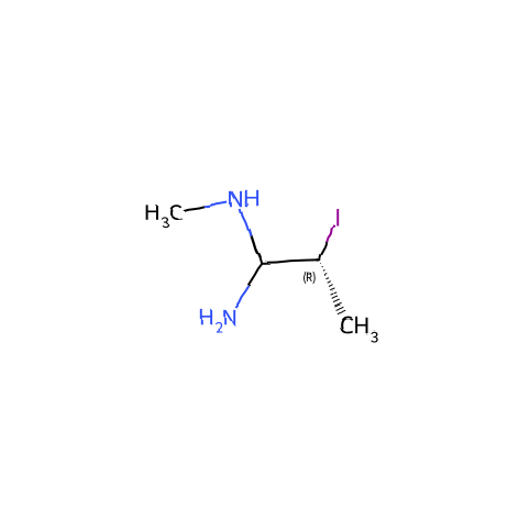 CNC(N)[C@@H](C)I